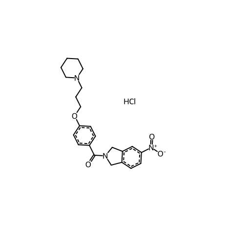 Cl.O=C(c1ccc(OCCCN2CCCCC2)cc1)N1Cc2ccc([N+](=O)[O-])cc2C1